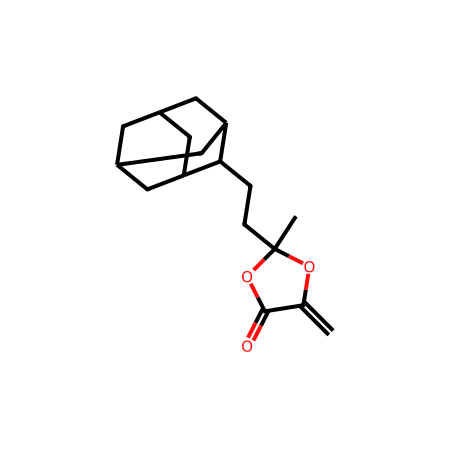 C=C1OC(C)(CCC2C3CC4CC(C3)CC2C4)OC1=O